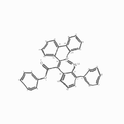 O=C(Oc1ccccc1)c1c2cccc(-c3ccccc3)c2n[n+]2c3ccccc3c3ccccc3c12